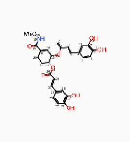 C=C(/C=C/c1ccc(O)c(O)c1)O[C@@H]1CC(C(=O)NOC)CC[C@H]1OC(=O)/C=C/c1ccc(O)c(O)c1